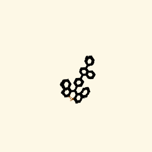 c1ccc(-c2ccc(-c3ccc(C4c5c(ccc6ccccc56)Sc5ccc6ccccc6c54)cc3)c3ccccc23)cc1